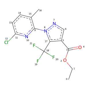 CCOC(=O)c1cnn(-c2nc(Cl)ccc2C)c1C(F)(F)F